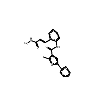 Cc1oc(-c2ccccc2)cc1C(=O)Nc1ccccc1C=CC(=O)NO